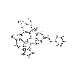 CC1(C)CC(=O)C2=C(C1)Nc1c(O)cccc1N(C(=O)c1ncn[nH]1)C2c1ccc(OCc2ccccc2)cc1F